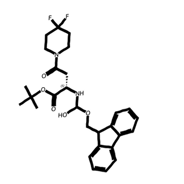 CC(C)(C)OC(=O)[C@H](CC(=O)N1CCC(F)(F)CC1)NC(O)OCC1c2ccccc2-c2ccccc21